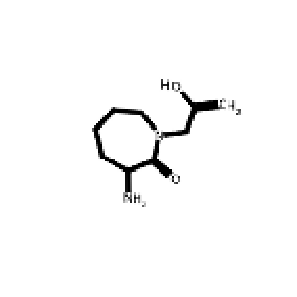 C=C(O)CN1CCCCC(N)C1=O